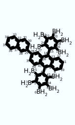 Bc1c(B)c(B)c(-c2c3ccccc3c(-c3c(B)c(B)c(B)c(B)c3B)c3cc(-c4ccc5ccccc5c4)ccc23)c(B)c1B